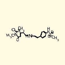 Cn1c(CCCNCCc2ccc(NS(C)(=O)=O)cc2)cc(=O)n(C)c1=O